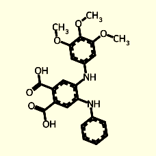 COc1cc(Nc2cc(C(=O)O)c(C(=O)O)cc2Nc2ccccc2)cc(OC)c1OC